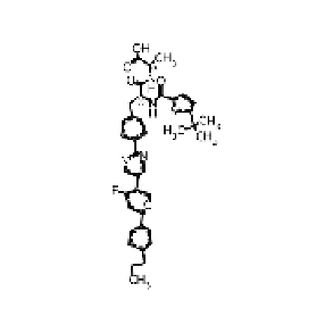 CCCc1ccc(-c2ccc(-c3cnc(-c4ccc(C[C@H](NC(=O)c5ccc(C(C)(C)C)s5)C(=O)N[C@H](C)C(=O)O)cc4)nc3)c(F)c2)cc1